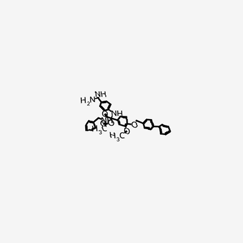 COc1cc([C@](Nc2ccc(C(=N)N)cc2)(OC(C)=O)C(=O)NCc2ccccc2)ccc1OCc1ccc(-c2ccccc2)cc1